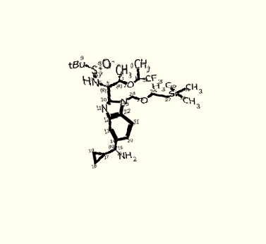 C[C@H](O[C@H](C)[C@H](N[S@+]([O-])C(C)(C)C)c1nc2cc([C@H](N)C3CC3)ccc2n1COCC[Si](C)(C)C)C(F)(F)F